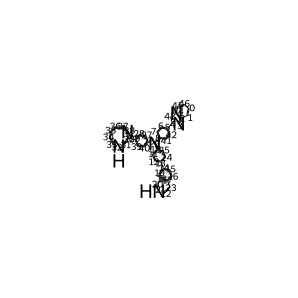 C1=CC2=NC(c3ccc(N(c4ccc(-c5ccc6c(c5)CNC=C6)cc4)c4ccc(-c5c[nH]cccccn5)cc4)cc3)CN2C=C1